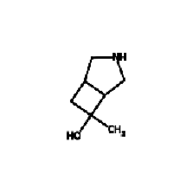 CC1(O)CC2CNCC21